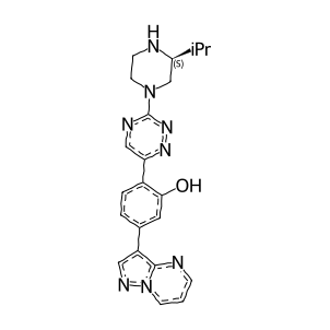 CC(C)[C@H]1CN(c2ncc(-c3ccc(-c4cnn5cccnc45)cc3O)nn2)CCN1